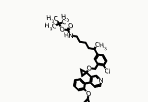 CC(CCCCNC(=O)OC(C)(C)C)c1ccc(Cl)c(COC2(c3cnccc3-c3ccccc3OC3CC3)CC2)c1